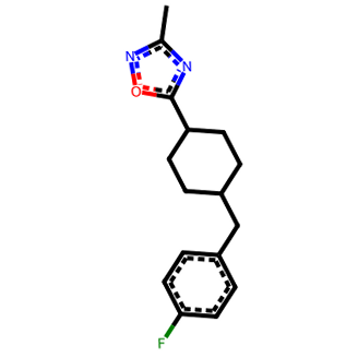 Cc1noc(C2CCC(Cc3ccc(F)cc3)CC2)n1